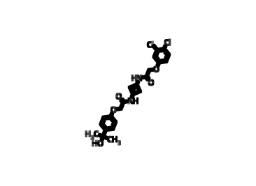 CC(C)(O)c1ccc(OCC(=O)NC23CC(NC(=O)COc4ccc(Cl)c(Cl)c4)(C2)C3)cc1